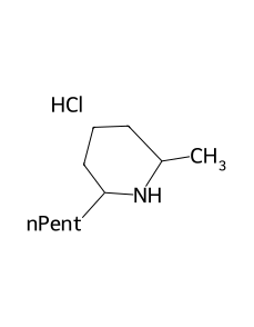 CCCCCC1CCCC(C)N1.Cl